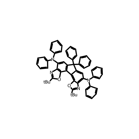 CC(C)(C)c1nc2c(N(c3ccccc3)c3ccccc3)cc3c(c2o1)-c1c(cc(N(c2ccccc2)c2ccccc2)c2nc(C(C)(C)C)oc12)C3(c1ccccc1)c1ccccc1